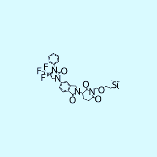 C[Si](C)(C)CCOCN1C(=O)CCC(N2Cc3cc(N4C[C@H](C(F)(F)F)N(c5ccccc5)C4=O)ccc3C2=O)C1=O